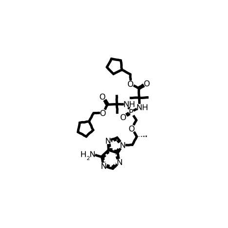 C[C@H](Cn1cnc2c(N)ncnc21)OCP(=O)(NC(C)(C)C(=O)OCC1CCCC1)NC(C)(C)C(=O)OCC1CCCC1